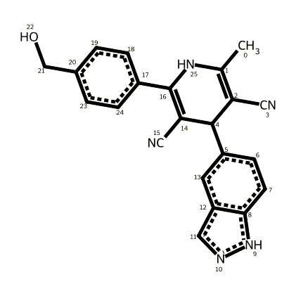 CC1=C(C#N)C(c2ccc3[nH]ncc3c2)C(C#N)=C(c2ccc(CO)cc2)N1